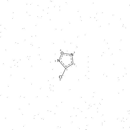 Clc1[c]non1